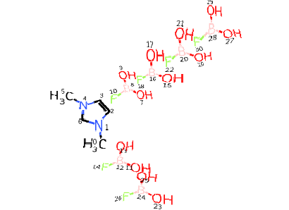 CN1C=CN(C)C1.OB(O)F.OB(O)F.OB(O)F.OB(O)F.OB(O)F.OB(O)F